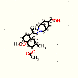 CC(=O)O[C@@H]1[CH][C@@]2(O)[C@H](C)CC[C@@H](C(C)CN3CC4CC(CO)CC(C4)C3)[C@H]2C=C1C